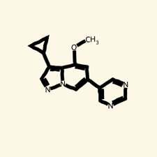 COc1cc(-c2cncnc2)cn2ncc(C3CC3)c12